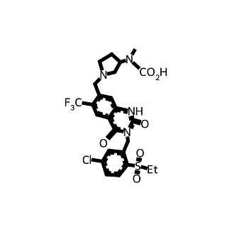 CCS(=O)(=O)c1ccc(Cl)cc1Cn1c(=O)[nH]c2cc(CN3CCC(N(C)C(=O)O)C3)c(C(F)(F)F)cc2c1=O